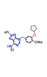 CCCc1nc2c(NCC)ncn(Cc3ccc(OC)c(OC4CCCC4)c3)c-2n1